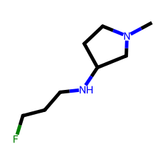 CN1CCC(NCCCF)C1